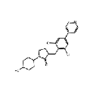 O=C1C(Cc2c(Cl)cc(-c3ccncc3)cc2Cl)CCN1C1CCC(O)CC1